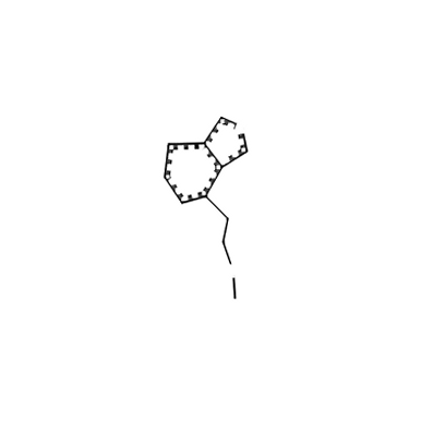 CCCCc1cccc2[c]s[c]c12